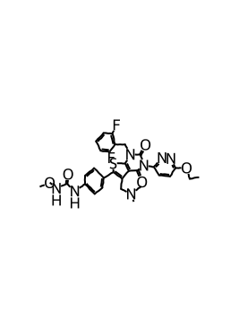 CCOc1ccc(-n2c(=O)c3c(CN(C)C)c(-c4ccc(NC(=O)NOC)cc4)sc3n(Cc3c(F)cccc3F)c2=O)nn1